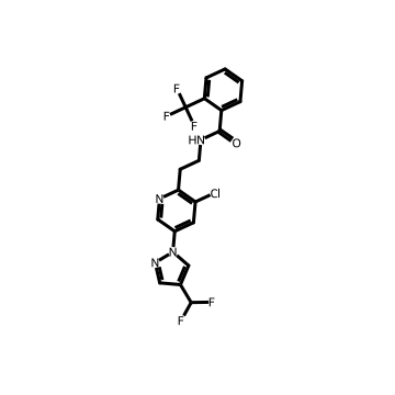 O=C(NCCc1ncc(-n2cc(C(F)F)cn2)cc1Cl)c1ccccc1C(F)(F)F